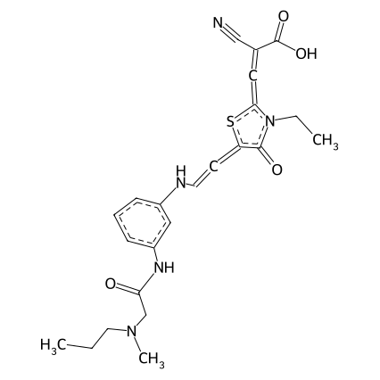 CCCN(C)CC(=O)Nc1cccc(NC=C=c2sc(=C=C(C#N)C(=O)O)n(CC)c2=O)c1